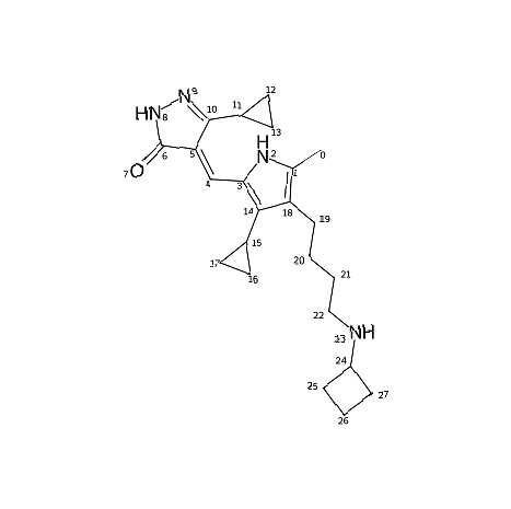 Cc1[nH]c(C=C2C(=O)NN=C2C2CC2)c(C2CC2)c1CCCCNC1CCC1